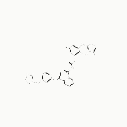 CCOC(=O)c1csc(Nc2cc(C(C)(C)C)cc(NC(=O)Nc3ccc(Oc4ccnc(CN5CCCC5)c4)c4ccccc34)c2OC)n1